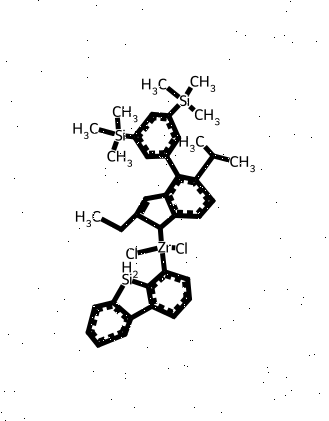 CCC1=Cc2c(ccc(C(C)C)c2-c2cc([Si](C)(C)C)cc([Si](C)(C)C)c2)[CH]1[Zr]([Cl])([Cl])[c]1cccc2c1[SiH2]c1ccccc1-2